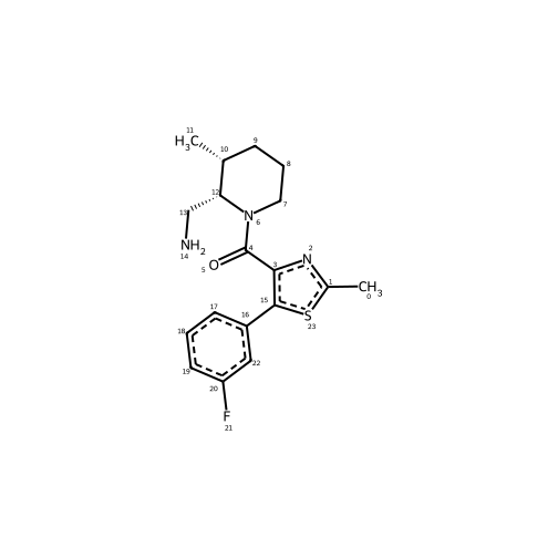 Cc1nc(C(=O)N2CCC[C@@H](C)[C@H]2CN)c(-c2cccc(F)c2)s1